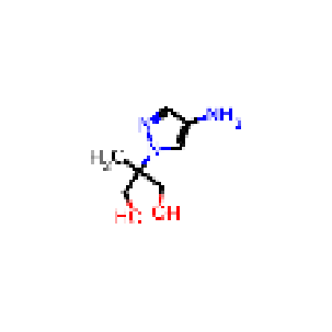 CC(CO)(CO)n1cc(N)cn1